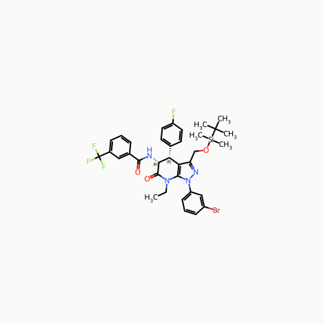 CCN1C(=O)[C@H](NC(=O)c2cccc(C(F)(F)F)c2)[C@H](c2ccc(F)cc2)c2c(CO[Si](C)(C)C(C)(C)C)nn(-c3cccc(Br)c3)c21